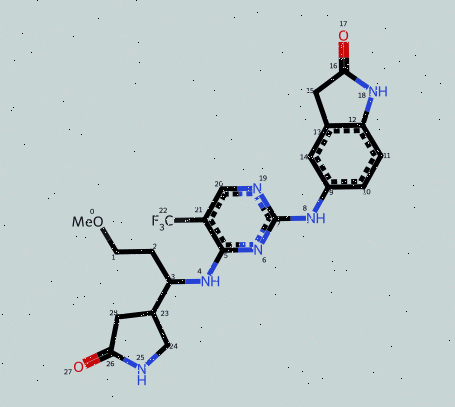 COCCC(Nc1nc(Nc2ccc3c(c2)CC(=O)N3)ncc1C(F)(F)F)C1CNC(=O)C1